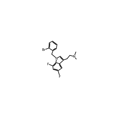 CN(C)CCc1cn(Cc2ccccc2Br)c2c(F)cc(F)cc12